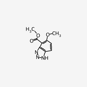 COC(=O)c1c(OC)ccc2[nH]nnc12